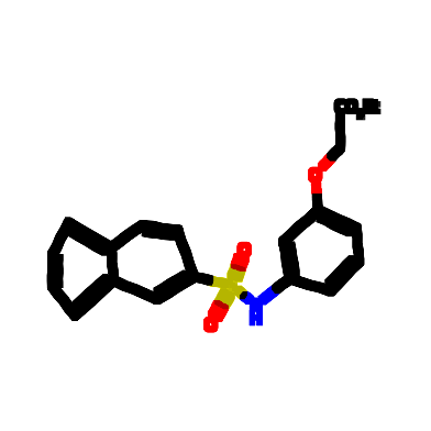 CCOC(=O)COc1cccc(NS(=O)(=O)c2ccc3ccccc3c2)c1